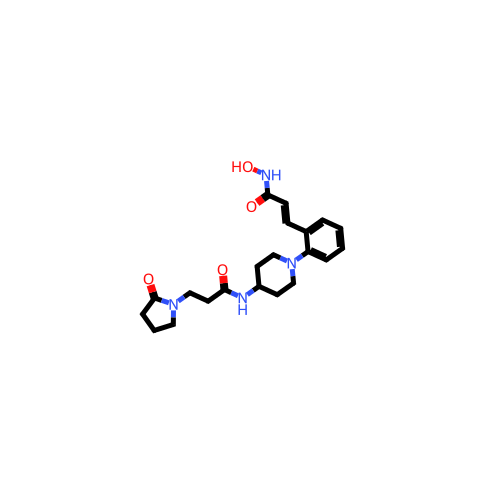 O=C(C=Cc1ccccc1N1CCC(NC(=O)CCN2CCCC2=O)CC1)NO